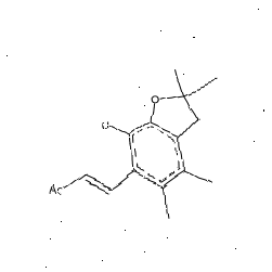 CC(=O)C=Cc1c(C)c(C)c2c(c1Cl)OC(C)(C)C2